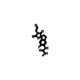 CNC(=O)Nc1cc2c(cc1F)[C@]1(CC2)OC(=O)N(CC=O)C1=O